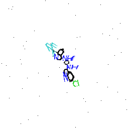 FC(F)(F)c1cccc2c(N[C@H]3CC[C@@H](Nc4ccnc5cc(Cl)ccc45)CC3)ccnc12